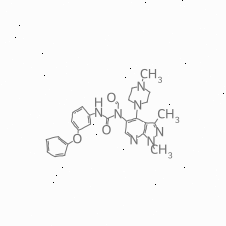 Cc1nn(C)c2ncc(N(C=O)C(=O)Nc3cccc(Oc4ccccc4)c3)c(N3CCN(C)CC3)c12